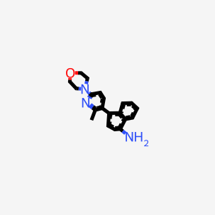 Cc1nc(N2CCOCC2)ccc1-c1ccc(N)c2ccccc12